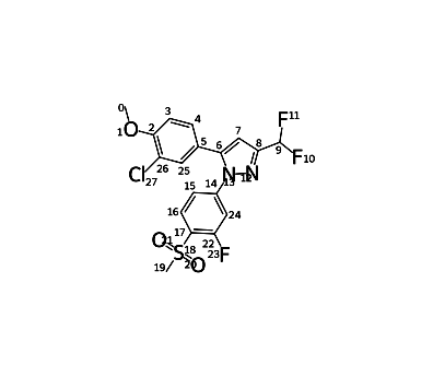 COc1ccc(-c2cc(C(F)F)nn2-c2ccc(S(C)(=O)=O)c(F)c2)cc1Cl